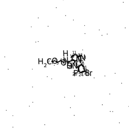 C=COCCONC(=O)c1ccc2cncn2c1Nc1ccc(Br)cc1F